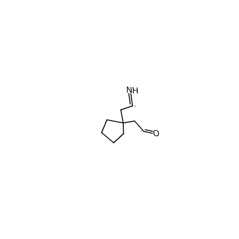 N=[C]CC1(C[C]=O)CCCC1